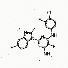 Cc1nc2cc(F)ccc2n1-c1nc(N)c(F)c(Nc2ccc(Cl)c(F)c2)n1